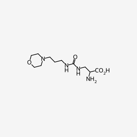 NC(CNC(=O)NCCCN1CCOCC1)C(=O)O